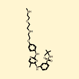 CNCCOCCNCCOc1ccc(Nc2ncc(C)c(Nc3cccc(S(=O)(=O)NC(C)(C)C)c3)n2)cc1